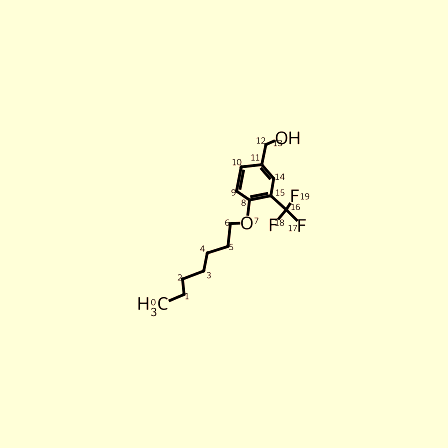 CCCCCCCOc1ccc(CO)cc1C(F)(F)F